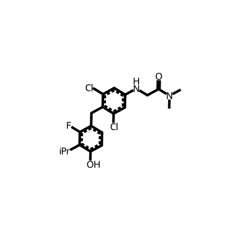 CC(C)c1c(O)ccc(Cc2c(Cl)cc(NCC(=O)N(C)C)cc2Cl)c1F